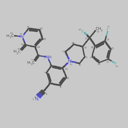 C=C(Nc1cc(C#N)ccc1N1CCC(C(C)(F)c2ccc(F)cc2F)CC1)C1=CC=CN(C)C1=C